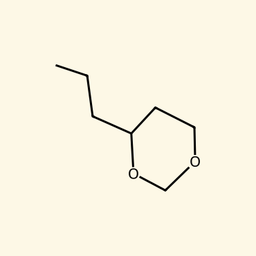 CCCC1CCOCO1